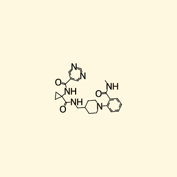 CNC(=O)c1ccccc1N1CCC(CNC(=O)C2(NC(=O)c3cncnc3)CC2)CC1